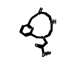 COC(=O)CN1CCNCCNCc2cccc(n2)C1